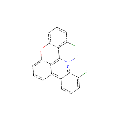 C[n+]1c2c3c(cccc3c3cccc(F)c31)Oc1cccc(F)c1-2